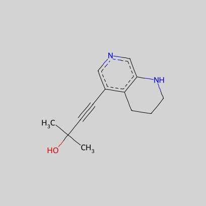 CC(C)(O)C#Cc1cncc2c1CCCN2